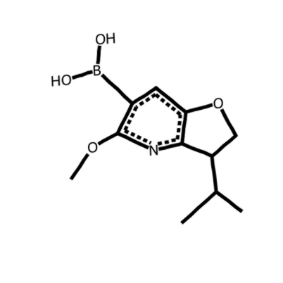 COc1nc2c(cc1B(O)O)OCC2C(C)C